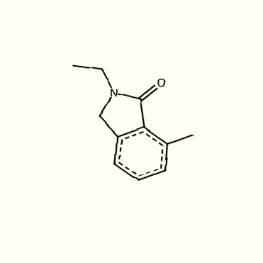 CCN1Cc2cccc(C)c2C1=O